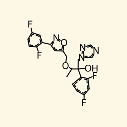 CC(OCc1cc(-c2cc(F)ccc2F)no1)C(O)(Cn1cncn1)c1ccc(F)cc1F